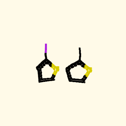 Cc1cc[c]s1.Ic1cc[c]s1